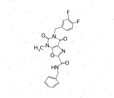 Cn1c(=O)n(Cc2ccc(F)c(F)c2)c(=O)c2nc(C(=O)NCc3ccccc3)oc21